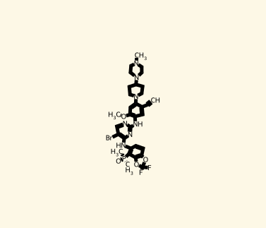 C#Cc1cc(Nc2ncc(Br)c(Nc3ccc4c(c3P(C)(C)=O)OC(F)(F)O4)n2)c(OC)cc1N1CCC(N2CCN(C)CC2)CC1